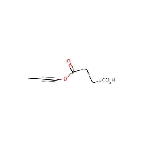 CC#COC(=O)CCC(=O)O